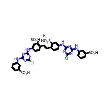 O=S(=O)(O)c1cccc(Nc2nc(Cl)nc(Nc3ccc(C=Cc4ccc(Nc5nc(Cl)nc(Nc6cccc(S(=O)(=O)O)c6)n5)cc4S(=O)(=O)O)c(S(=O)(=O)O)c3)n2)c1.[K]